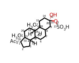 CC(=O)[C@H]1CC[C@H]2[C@@H]3CCC4C[C@](O)(OS(=O)(=O)O)CC[C@]4(C)[C@H]3CC[C@]12C